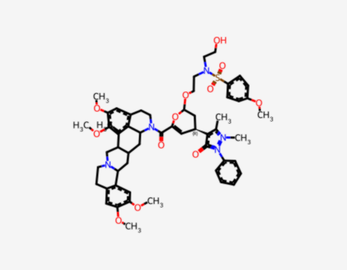 CCC1CN2CCc3cc(OC)c(OC)cc3C2CC1CC1c2cc(OC)c(OC)cc2CCN1C(=O)C1=C[C@H](c2c(C)n(C)n(-c3ccccc3)c2=O)CC(OCCN(CCO)S(=O)(=O)c2ccc(OC)cc2)O1